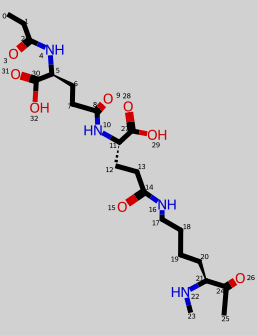 CCC(=O)N[C@@H](CCC(=O)N[C@@H](CCC(=O)NCCCC[C@H](NC)C(C)=O)C(=O)O)C(=O)O